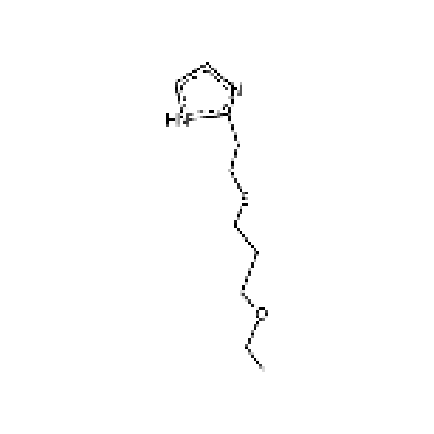 CCOCCCSCCc1ncc[nH]1